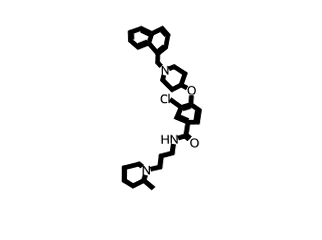 CC1CCCCN1CCCNC(=O)c1ccc(OC2CCN(Cc3cccc4ccccc34)CC2)c(Cl)c1